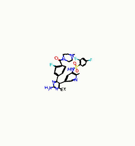 CCc1nc(N)nc(-c2ccc(C(=O)N3CCN(C)CC3)c(F)c2)c1-c1cnc(C)c(NS(=O)(=O)c2ccc(F)cc2F)c1